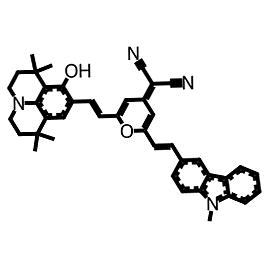 Cn1c2ccccc2c2cc(/C=C/C3=CC(=C(C#N)C#N)C=C(/C=C/c4cc5c6c(c4O)C(C)(C)CCN6CCC5(C)C)O3)ccc21